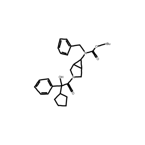 CC(C)(C)OC(=O)N(Cc1ccccc1)C1C2CN(C(=O)C(O)(c3ccccc3)C3CCCC3)CC21